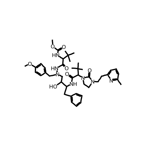 COC(=O)NC(C(=O)NN(Cc1ccc(OC)cc1)CC(O)C(Cc1ccccc1)NC(=O)C(N1CCN(CCc2cccc(C)n2)C1=O)C(C)(C)C)C(C)(C)C